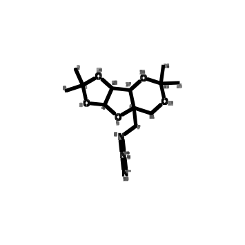 CC1(C)OC2OC3(CN=[N+]=[N-])COC(C)(C)OC3C2O1